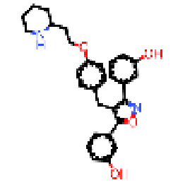 Oc1cccc(-c2noc(-c3cccc(O)c3)c2Cc2ccc(OCCC3CCCCN3)cc2)c1